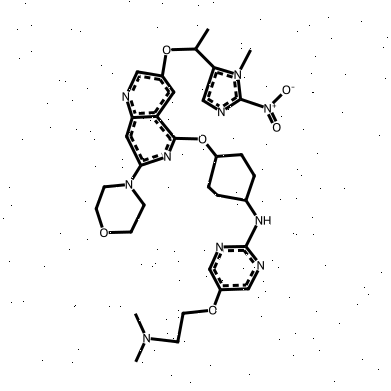 CC(Oc1cnc2cc(N3CCOCC3)nc(OC3CCC(Nc4ncc(OCCN(C)C)cn4)CC3)c2c1)c1cnc([N+](=O)[O-])n1C